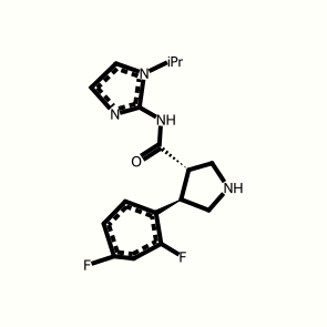 CC(C)n1ccnc1NC(=O)[C@@H]1CNC[C@H]1c1ccc(F)cc1F